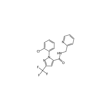 O=C(NCc1ccccn1)c1cc(C(F)(F)F)nn1-c1ccccc1Cl